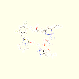 COC(=O)CSc1cc(/N=c2\sc(=O)n3n2CCCC3)c(F)cc1Cl.COc1cc(OC)nc(NC(=O)NS(=O)(=O)c2c(C(=O)O)cnn2C)n1